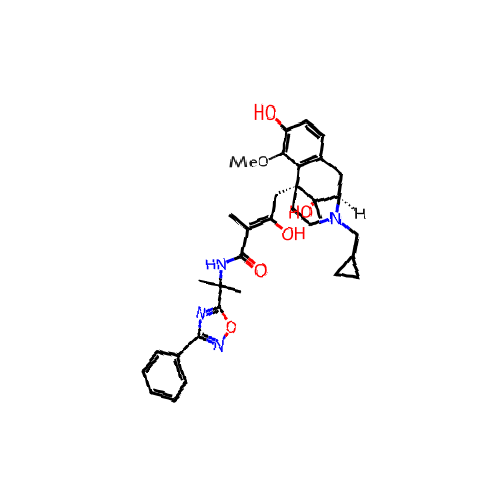 COc1c(O)ccc2c1[C@]1(C/C(O)=C(\C)C(=O)NC(C)(C)c3nc(-c4ccccc4)no3)CCN(CC3CC3)[C@H](C2)C1(C)O